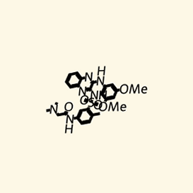 COc1cc(Nc2nc3ccccc3nc2NS(=O)(=O)c2cc(NC(=O)CN(C)C)ccc2C)cc(OC)c1